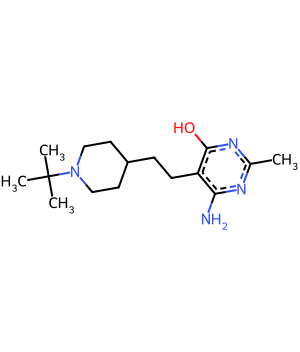 Cc1nc(N)c(CCC2CCN(C(C)(C)C)CC2)c(O)n1